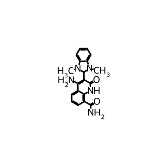 CN1c2ccccc2N(C)C1c1c(N)c2cccc(C(N)=O)c2[nH]c1=O